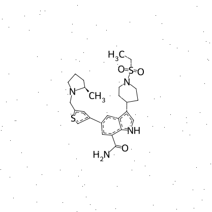 CCS(=O)(=O)N1CCC(c2c[nH]c3c(C(N)=O)cc(-c4csc(CN5CCC[C@H]5C)c4)cc23)CC1